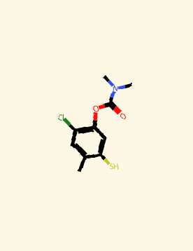 Cc1cc(Cl)c(OC(=O)N(C)C)cc1S